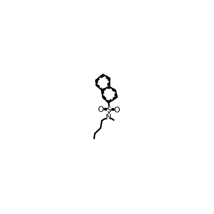 CCCCN(C)S(=O)(=O)c1ccc2ccccc2c1